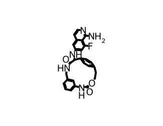 Nc1nccc2cc(NC3C(=O)NCc4cccc(c4)NC(=O)OCCc4ccc3cc4)cc(F)c12